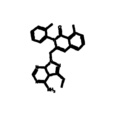 CCC1=NN(Cc2cc3cccc(C)c3c(=O)n2-c2ccccc2C)C2N=CN=C(N)C12